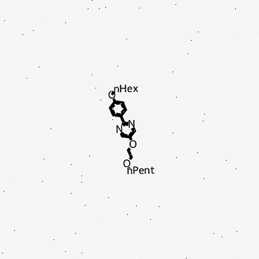 CCCCCCOc1ccc(-c2ncc(OCCOCCCCC)cn2)cc1